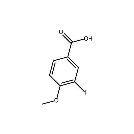 COc1ccc(C(=O)O)cc1I